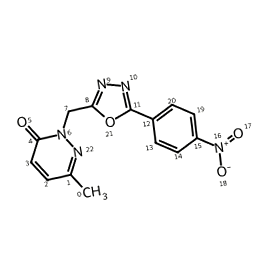 Cc1ccc(=O)n(Cc2nnc(-c3ccc([N+](=O)[O-])cc3)o2)n1